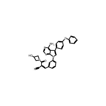 N#CC(=Cc1cccc(-n2cc(-c3ccc(Oc4ccccc4)cc3)c3c(N)ncnc32)c1)C(=O)N1CC(O)C1